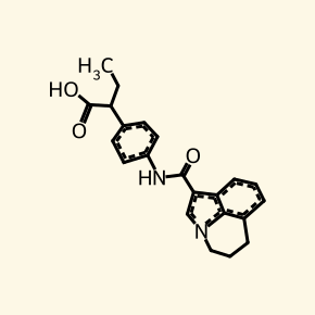 CCC(C(=O)O)c1ccc(NC(=O)c2cn3c4c(cccc24)CCC3)cc1